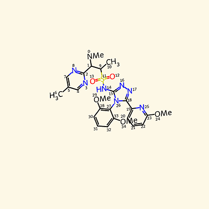 CNC(c1ncc(C)cn1)C(C)S(=O)(=O)Nc1nnc(-c2cccc(OC)n2)n1-c1c(OC)cccc1OC